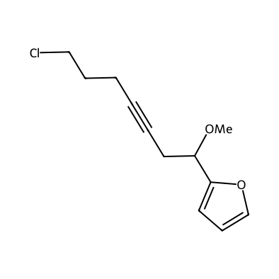 COC(CC#CCCCCl)c1ccco1